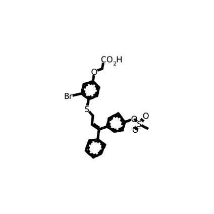 CS(=O)(=O)Oc1ccc(/C(=C\CSc2ccc(OCC(=O)O)cc2Br)c2ccccc2)cc1